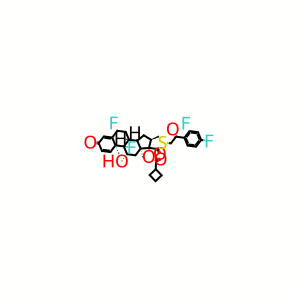 C[C@@H]1C[C@H]2[C@@H]3C[C@H](F)C4=CC(=O)C=C[C@]4(C)[C@@]3(F)[C@@H](O)C[C@]2(C)[C@@]1(OC(=O)C1CCC1)C(=O)SCC(=O)c1ccc(F)cc1F